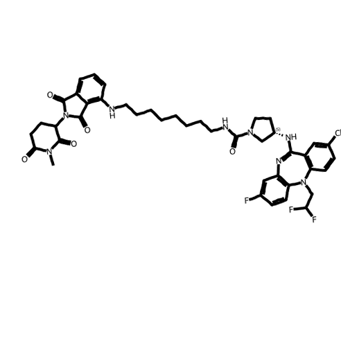 CN1C(=O)CCC(N2C(=O)c3cccc(NCCCCCCCCNC(=O)N4CC[C@H](NC5=Nc6cc(F)ccc6N(CC(F)F)c6ccc(Cl)cc65)C4)c3C2=O)C1=O